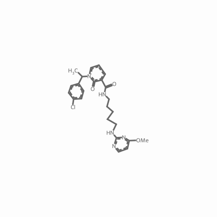 COc1ccnc(NCCCCCNC(=O)c2cccn(C(C)c3ccc(Cl)cc3)c2=O)n1